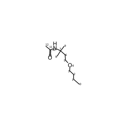 CCCCOCCC(C)(C)NC(C)=O